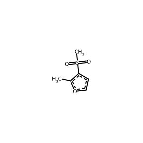 Cc1occc1S(C)(=O)=O